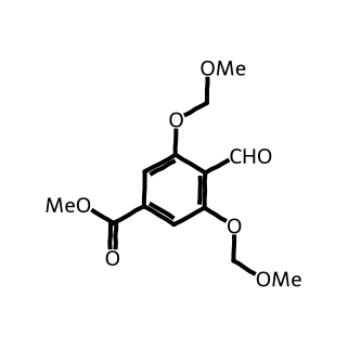 COCOc1cc(C(=O)OC)cc(OCOC)c1C=O